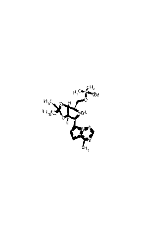 CC1(C)O[C@@H]2[C@H](O1)[C@@H](CO[Si](C)(C)C(C)(C)C)N[C@H]2c1ccc2c(N)ncnn12